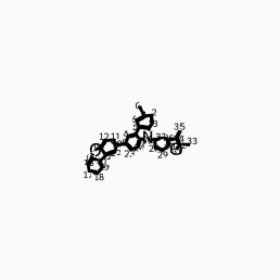 Cc1ccc2c(c1)c1cc(-c3ccc4oc5ccccc5c4c3)ccc1n2-c1ccc2oc(C)c(C)c2c1